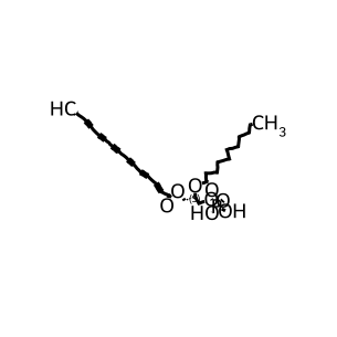 C#CC#CC#CC#CC#CC#CC#CC(=O)OC[C@@H](COP(=O)(O)O)OC(=O)CCCCCCCCCC